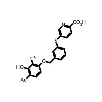 CCCc1c(OCc2cccc(Sc3ccc(C(=O)O)nc3)c2)ccc(C(C)=O)c1O